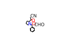 N#CCC(=O)C1CCCN1C(OC=O)c1ccccc1